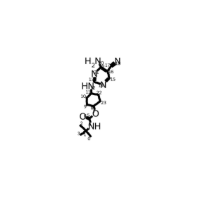 CC(C)(C)NC(=O)OC1CCC(Nc2ncc(C#N)c(N)n2)CC1